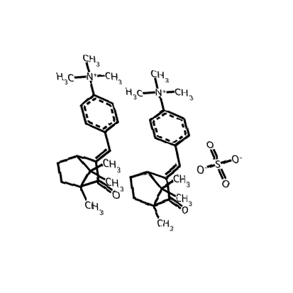 CC12CCC(/C(=C\c3ccc([N+](C)(C)C)cc3)C1=O)C2(C)C.CC12CCC(/C(=C\c3ccc([N+](C)(C)C)cc3)C1=O)C2(C)C.O=S(=O)([O-])[O-]